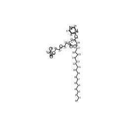 CCCCCCCCCCCCCCCCCCOCC(C[S+]([O-])CCOCCOS(C)(=O)=O)Oc1ccncn1